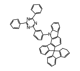 C1=CC2=C(CC1)C1(c3ccccc32)c2ccccc2-c2c1ccc1c3ccccc3n(-c3cccc(-c4nc(-c5ccccc5)nc(-c5ccccc5)n4)c3)c21